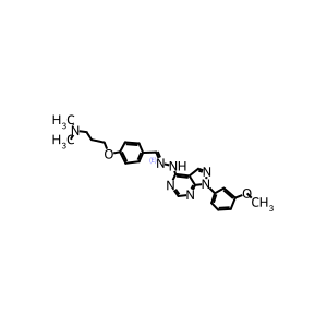 COc1cccc(-n2ncc3c(N/N=C/c4ccc(OCCCN(C)C)cc4)ncnc32)c1